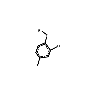 CCc1cc(F)ccc1OC(C)C